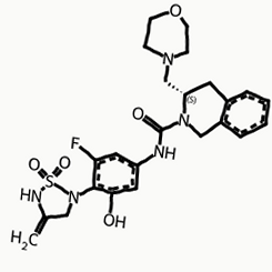 C=C1CN(c2c(O)cc(NC(=O)N3Cc4ccccc4C[C@H]3CN3CCOCC3)cc2F)S(=O)(=O)N1